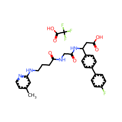 Cc1ccnc(NCCCC(=O)NCC(=O)NC(CC(=O)O)c2ccc(-c3ccc(F)cc3)cc2)c1.O=C(O)C(F)(F)F